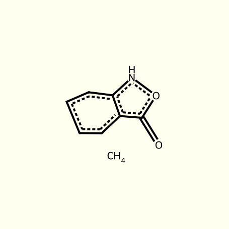 C.O=c1o[nH]c2ccccc12